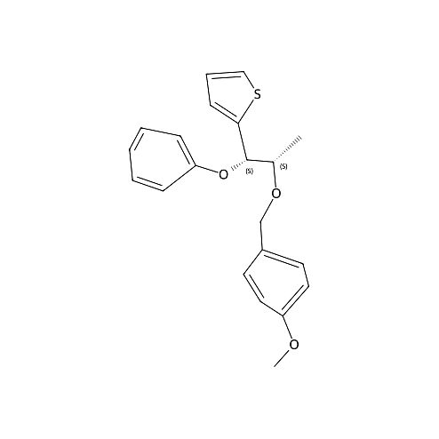 COc1ccc(CO[C@@H](C)[C@H](Oc2ccccc2)c2cccs2)cc1